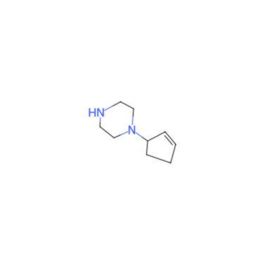 C1=CC(N2CCNCC2)CC1